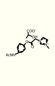 CC(=O)Nc1ccc(OC(=O)Cn2cc[n+](C)c2)cc1.CC(O)C(=O)[O-]